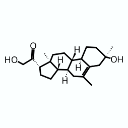 CC1=C2C[C@](C)(O)CC[C@@H]2[C@H]2CC[C@]3(C)[C@@H](C(=O)CO)CC[C@H]3[C@@H]2C1